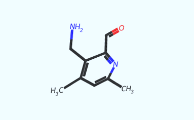 Cc1cc(C)c(CN)c(C=O)n1